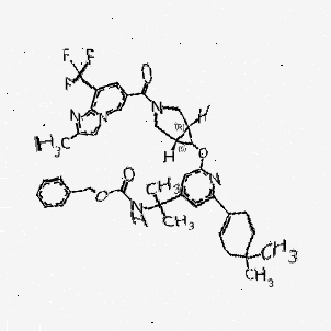 Cc1cn2cc(C(=O)N3C[C@@H]4C(Oc5cc(C(C)(C)NC(=O)OCc6ccccc6)cc(C6=CCC(C)(C)CC6)n5)[C@@H]4C3)cc(C(F)(F)F)c2n1